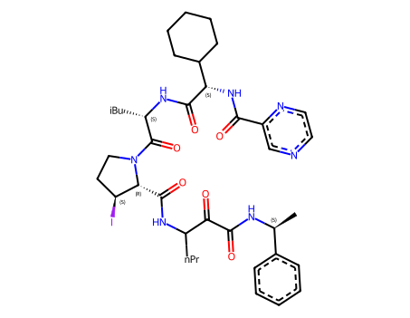 CCCC(NC(=O)[C@@H]1[C@@H](I)CCN1C(=O)[C@@H](NC(=O)[C@@H](NC(=O)c1cnccn1)C1CCCCC1)C(C)CC)C(=O)C(=O)N[C@@H](C)c1ccccc1